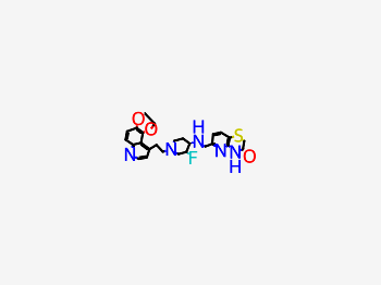 O=C1CSc2ccc(CN[C@@H]3CCN(CCc4ccnc5ccc6c(c45)OCCO6)C[C@@H]3F)nc2N1